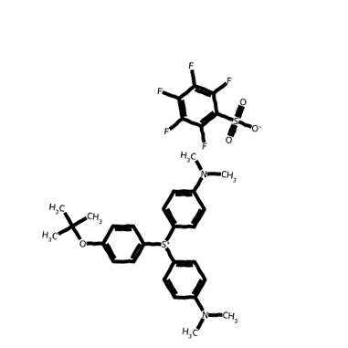 CN(C)c1ccc([S+](c2ccc(OC(C)(C)C)cc2)c2ccc(N(C)C)cc2)cc1.O=S(=O)([O-])c1c(F)c(F)c(F)c(F)c1F